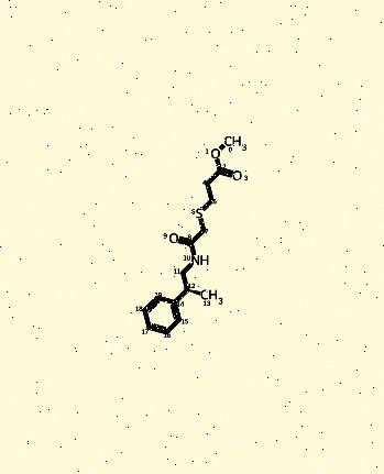 COC(=O)CCSCC(=O)NC[C@@H](C)c1ccccc1